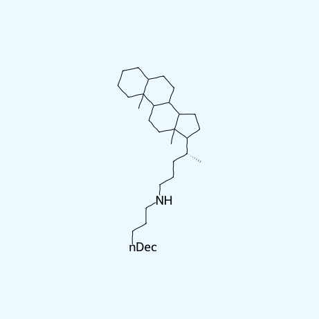 CCCCCCCCCCCCCNCCC[C@@H](C)C1CCC2C3CCC4CCCCC4(C)C3CCC21C